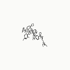 CCN(CC)CCN(C)C(=O)c1cccc(Nc2nccc(N(Cc3cc(C(F)(F)F)ccc3Cl)C(=O)Oc3c(C)cc(C)cc3C)n2)c1